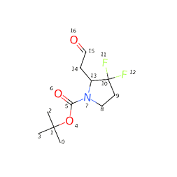 CC(C)(C)OC(=O)N1CCC(F)(F)C1CC=O